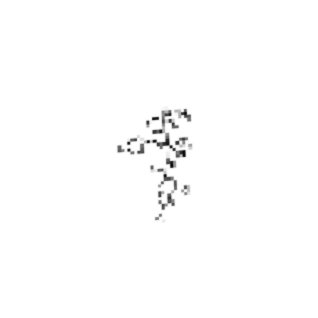 CC[C@]1(C(N)=O)COc2c1cc(C(O)(CNC(=O)c1cc(Cl)c3nc(C4CC4)cn3c1)C(F)(F)F)nc2-c1ccc(F)cc1